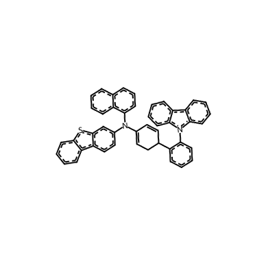 C1=CC(c2ccccc2-n2c3ccccc3c3ccccc32)CC=C1N(c1ccc2c(c1)sc1ccccc12)c1cccc2ccccc12